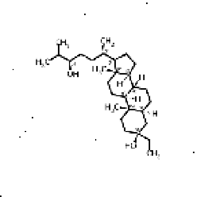 CC[C@]1(O)CC[C@@]2(C)[C@@H](CC[C@@H]3[C@@H]2CC[C@]2(C)[C@@H]([C@H](C)CC[C@@H](O)C(C)C)CC[C@@H]32)C1